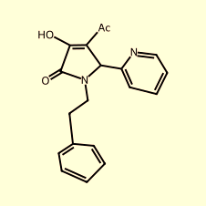 CC(=O)C1=C(O)C(=O)N(CCc2ccccc2)C1c1ccccn1